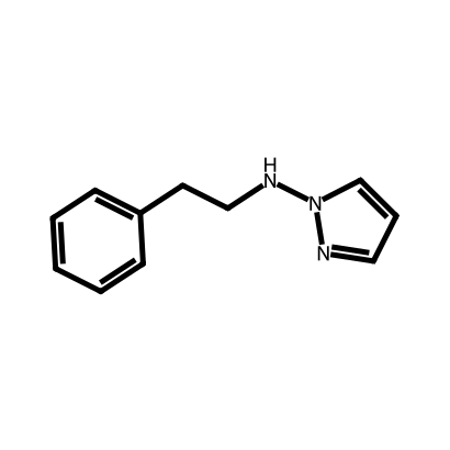 c1ccc(CCNn2cccn2)cc1